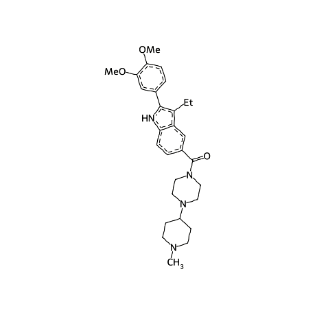 CCc1c(-c2ccc(OC)c(OC)c2)[nH]c2ccc(C(=O)N3CCN(C4CCN(C)CC4)CC3)cc12